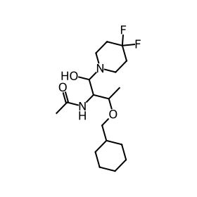 CC(=O)NC(C(C)OCC1CCCCC1)C(O)N1CCC(F)(F)CC1